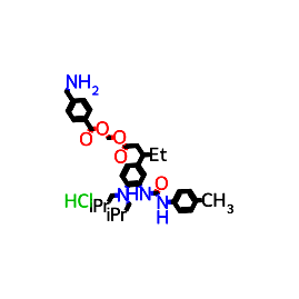 CCC(CC(=O)OCOC(=O)c1ccc(CN)cc1)c1ccc(N(CC(C)C)CC(C)C)c(NC(=O)Nc2ccc(C)cc2)c1.Cl